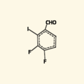 O=Cc1ccc(F)c(F)c1I